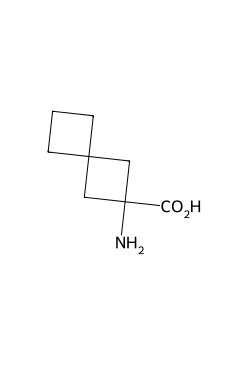 NC1(C(=O)O)CC2(CCC2)C1